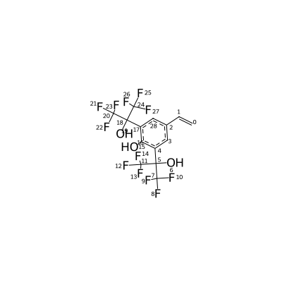 C=Cc1cc(C(O)(C(F)(F)F)C(F)(F)F)c(O)c(C(O)(C(F)(F)F)C(F)(F)F)c1